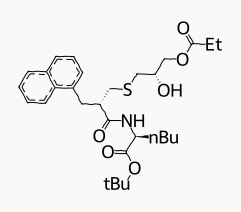 CCCC[C@H](NC(=O)[C@@H](CSC[C@@H](O)COC(=O)CC)Cc1cccc2ccccc12)C(=O)OC(C)(C)C